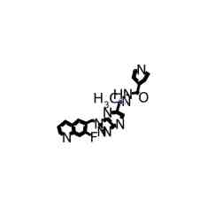 C/C(=N\NC(=O)c1ccncc1)c1cnc2nnn(Cc3cc4cccnc4cc3F)c2n1